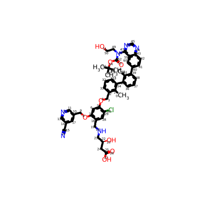 Cc1c(COc2cc(OCc3cncc(C#N)c3)c(CNC[C@@H](O)CC(=O)O)cc2Cl)cccc1-c1cccc(-c2ccc3ncnc(N(CCO)C(=O)OC(C)(C)C)c3c2)c1C